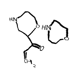 C1COCCN1.C=CC(=O)C1CNCCO1